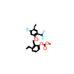 CCc1cc(C(F)F)c(OCc2c(CC)cccc2OC(=O)OC)cc1F